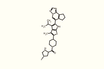 Cc1c(C2CCN(C(=O)C3C[C@@H](F)CN3)CC2)sc2[nH]c(-c3cn4ncnc4c4c3CCC4)c(C(C)C)c12